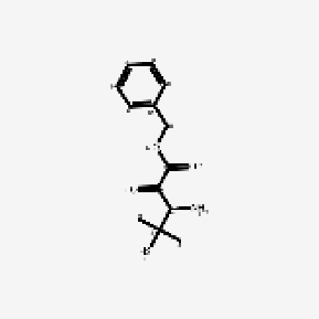 CC(C)(S)[C@H](N)C(=O)C(=O)OCc1ccccc1